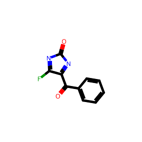 O=C1N=C(F)C(C(=O)c2ccccc2)=N1